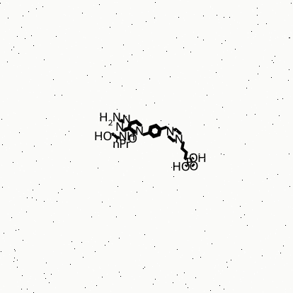 CCC[C@@H](CO)Nc1nc(N)nc2ccn(Cc3ccc(CN4CCN(CCCCP(=O)(O)O)CC4)cc3)c(=O)c12